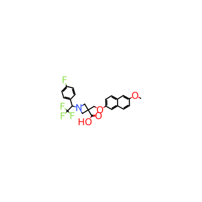 COc1ccc2cc(OCC3(C(=O)O)CN(C(c4ccc(F)cc4)C(F)(F)F)C3)ccc2c1